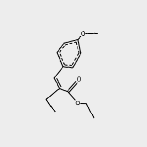 CCOC(=O)/C(=C\c1ccc(OC)cc1)CC